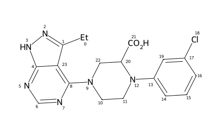 CCc1n[nH]c2ncnc(N3CCN(c4cccc(Cl)c4)C(C(=O)O)C3)c12